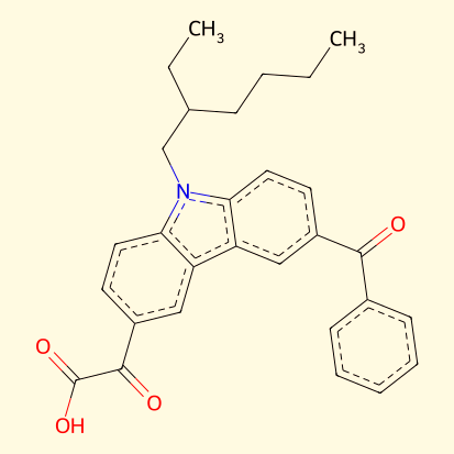 CCCCC(CC)Cn1c2ccc(C(=O)C(=O)O)cc2c2cc(C(=O)c3ccccc3)ccc21